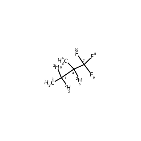 [2H]C([2H])(C)C([2H])(C)C(F)(F)F